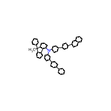 CC1(c2ccccc2)c2ccccc2-c2c(N(c3ccc(-c4ccc(-c5ccc6ccccc6c5)cc4)cc3)c3cccc(-c4ccc(-c5ccccc5)cc4)c3)cccc21